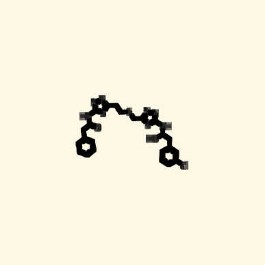 O=C(Cc1ccccc1)Nc1nnc(CCSCc2nnc(NC(O)Cc3cccc(Cl)c3)s2)s1